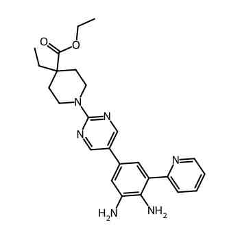 CCOC(=O)C1(CC)CCN(c2ncc(-c3cc(N)c(N)c(-c4ccccn4)c3)cn2)CC1